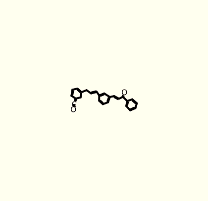 O=C=C1C=CC=C(CC=Cc2cccc(/C=C/C(=O)c3ccccc3)c2)C1